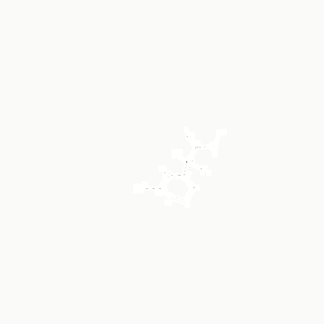 O=C(OF)C(F)(F)c1cccc(Br)n1